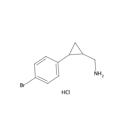 Cl.NCC1CC1c1ccc(Br)cc1